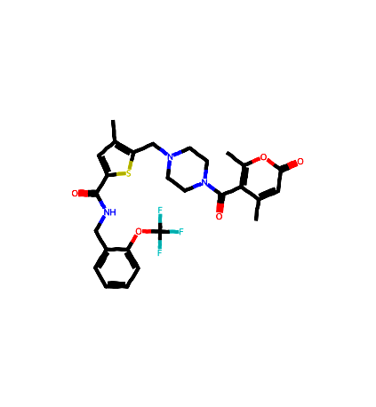 Cc1cc(C(=O)NCc2ccccc2OC(F)(F)F)sc1CN1CCN(C(=O)c2c(C)cc(=O)oc2C)CC1